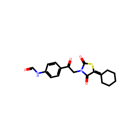 O=CNc1ccc(C(=O)CN2C(=O)SC(=C3CCCCC3)C2=O)cc1